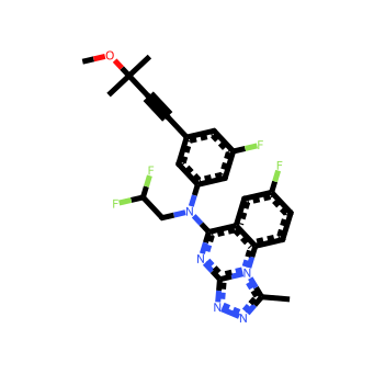 COC(C)(C)C#Cc1cc(F)cc(N(CC(F)F)c2nc3nnc(C)n3c3ccc(F)cc23)c1